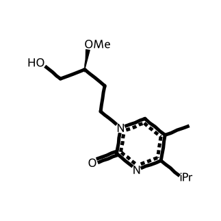 CO[C@H](CO)CCn1cc(C)c(C(C)C)nc1=O